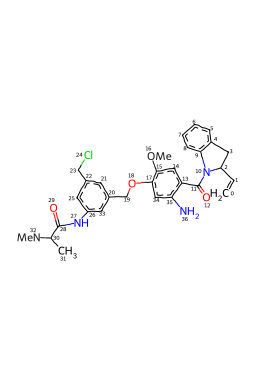 C=CC1Cc2ccccc2N1C(=O)c1cc(OC)c(OCc2cc(CCl)cc(NC(=O)C(C)NC)c2)cc1N